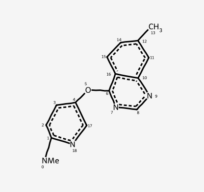 CNc1ccc(Oc2ncnc3cc(C)ccc23)cn1